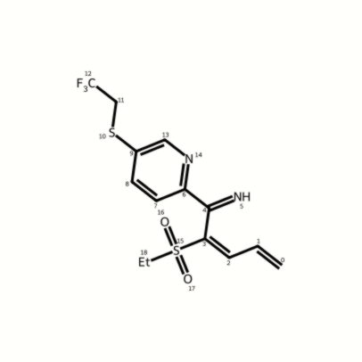 C=C/C=C(\C(=N)c1ccc(SCC(F)(F)F)cn1)S(=O)(=O)CC